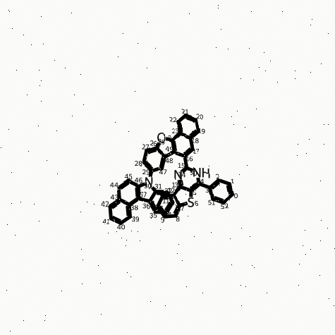 c1ccc(C2=c3sc4ccccc4c3=NC(c3cc4ccccc4c4oc5ccc(-n6c7ccccc7c7c8ccccc8ccc76)cc5c34)N2)cc1